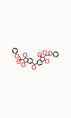 O=C(c1ccc2c(c1)C(=O)C(C(=O)COc1ccccc1)C2=O)c1ccc2c(c1)C(=O)C(C(=O)COc1ccccc1)C2=O